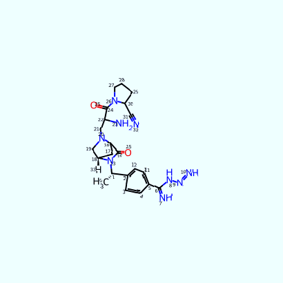 C[C@@H](c1ccc(C(=N)NN=N)cc1)N1C(=O)C2C[C@H]1CN2CC(N)C(=O)N1CCCC1C#N